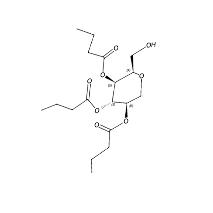 CCCC(=O)O[C@@H]1[C@@H](OC(=O)CCC)[C@@H](CO)O[CH][C@H]1OC(=O)CCC